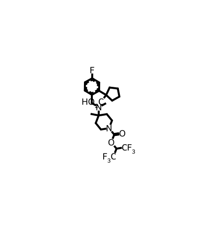 CN(Cc1ccc(F)cc1C1(C(=O)O)CCCC1)C1(C)CCN(C(=O)OC(C(F)(F)F)C(F)(F)F)CC1